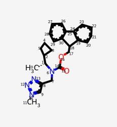 C[C@H](C1CCC1)N(Cc1cn(C)nn1)C(=O)OCC1c2ccccc2-c2ccccc21